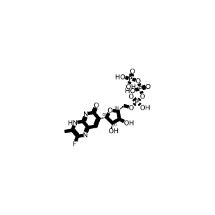 Cc1[nH]c2nc(=O)c([C@@H]3O[C@H](COP(=O)(O)OP(=O)(O)OP(=O)(O)O)C(O)[C@@H]3O)cc-2nc1F